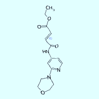 CCOC(=O)/C=C/C(=O)Nc1ccnc(N2CCOCC2)c1